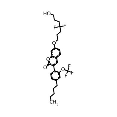 CCCCCc1ccc(-c2cc3ccc(OCCCC(F)(F)CCCO)cc3oc2=O)c(OC(F)(F)F)c1